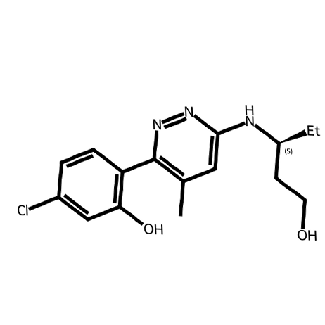 CC[C@@H](CCO)Nc1cc(C)c(-c2ccc(Cl)cc2O)nn1